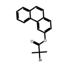 CC(C)(Br)C(=O)Oc1ccc2ccc3ccccc3c2c1